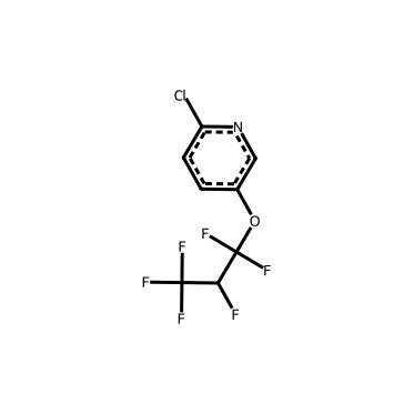 FC(C(F)(F)F)C(F)(F)Oc1ccc(Cl)nc1